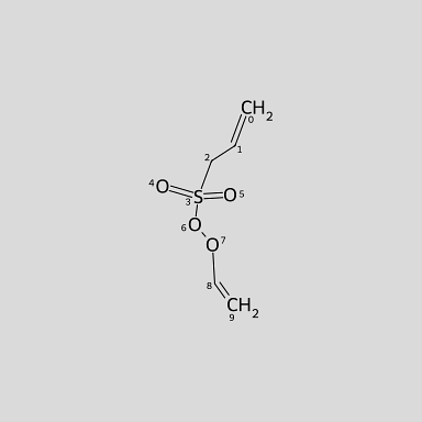 C=CCS(=O)(=O)OOC=C